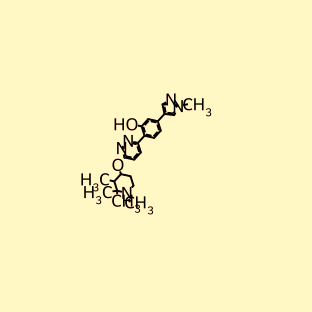 CC1C(Oc2ccc(-c3ccc(-c4cnn(C)c4)cc3O)nn2)CCN(C)C1(C)C